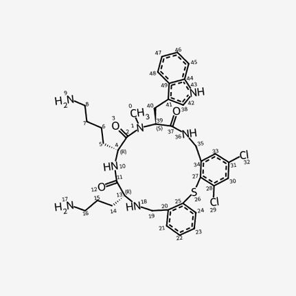 CN1C(=O)[C@@H](CCCCN)NC(=O)[C@@H](CCCN)NCc2ccccc2Sc2c(Cl)cc(Cl)cc2CNC(=O)[C@@H]1Cc1c[nH]c2ccccc12